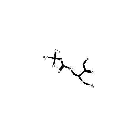 COC(CNC(=O)OC(C)(C)C)C(=O)CBr